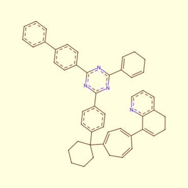 C1=CC(c2nc(-c3ccc(-c4ccccc4)cc3)nc(-c3ccc(C4(C5=CC=C(C6=CCCc7cccnc76)C=CC5)CCCCC4)cc3)n2)=CCC1